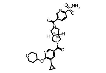 NS(=O)(=O)c1ccc(C(=O)N2C[C@@H]3CN(C(=O)c4cnc(OC5CCOCC5)c(C5CC5)c4)C[C@H]3C2)cn1